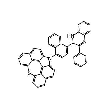 c1ccc(C2=Nc3ccccc3NC2c2ccc(-n3c4ccc5cccc6sc7cccc8ccc3c(c87)c4c56)c3ccccc23)cc1